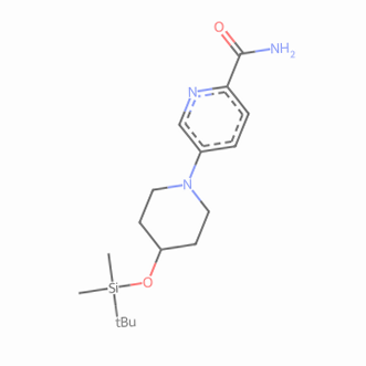 CC(C)(C)[Si](C)(C)OC1CCN(c2ccc(C(N)=O)nc2)CC1